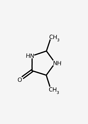 CC1NC(=O)C(C)N1